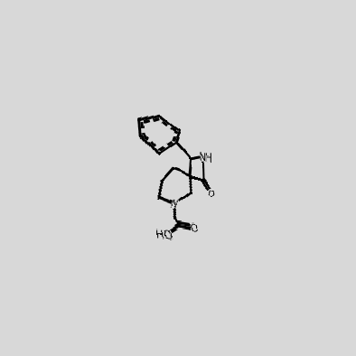 O=C(O)N1CCCC2(C1)C(=O)NC2c1ccccc1